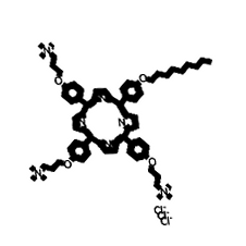 CCCCCCCCCOc1ccc(C2=C3C=CC(=N3)C(c3ccc(OCCC[N+](C)(C)C)cc3)=C3C=CC(=N3)C(c3ccc(OCCC[N+](C)(C)C)cc3)=C3C=CC(=N3)C(c3ccc(OCCC[N+](C)(C)C)cc3)=C3C=CC2=N3)cc1.[Cl-].[Cl-].[Cl-]